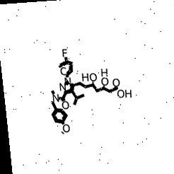 COc1ccc(CN(C)C(=O)c2nn(-c3ccc(F)cc3)c(CC[C@@H](O)C[C@@H](O)CC(=O)O)c2C(C)C)cc1